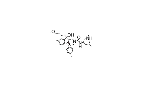 CNCC(CC(C)C)NC(=O)N1CCCC(C(O)(CCCCOC)c2cc(C)ccc2Oc2ccc(C)cc2)C1